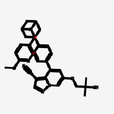 COc1ccc(CN2C3CC2CN(c2ccc(-c4cc(OCC(C)(C)O)cn5ncc(C#N)c45)cc2)C3)cn1